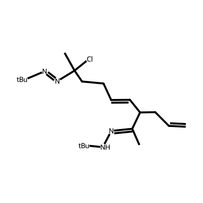 C=CCC(C=CCCC(C)(Cl)N=NC(C)(C)C)C(C)=NNC(C)(C)C